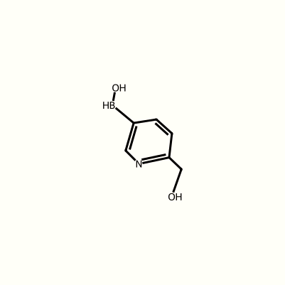 OBc1ccc(CO)nc1